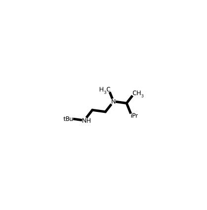 CC(C)C(C)N(C)CCNC(C)(C)C